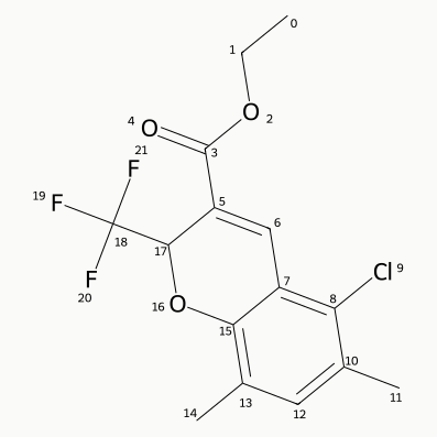 CCOC(=O)C1=Cc2c(Cl)c(C)cc(C)c2OC1C(F)(F)F